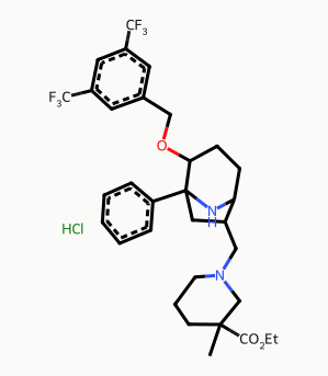 CCOC(=O)C1(C)CCCN(CC2CC3(c4ccccc4)NC2CCC3OCc2cc(C(F)(F)F)cc(C(F)(F)F)c2)C1.Cl